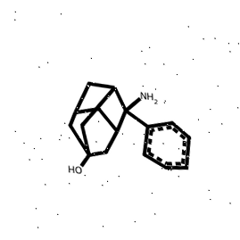 NC1(c2ccccc2)C2CC3CC1CC(O)(C3)C2